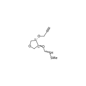 C#CCO[C@H]1COC[C@@H]1OC=[SH]SC